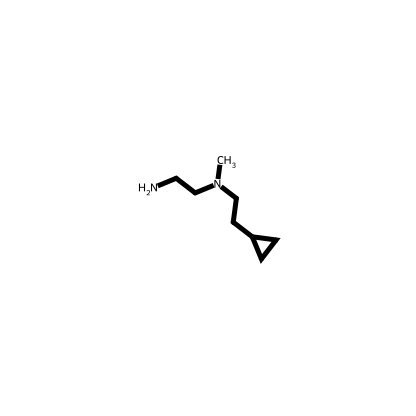 CN(CCN)CCC1CC1